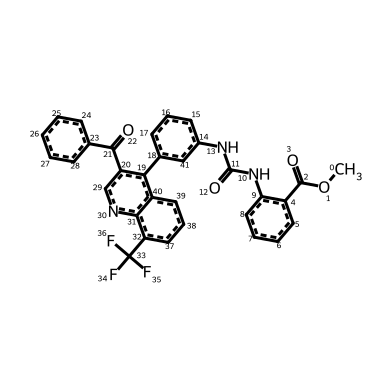 COC(=O)c1ccccc1NC(=O)Nc1cccc(-c2c(C(=O)c3ccccc3)cnc3c(C(F)(F)F)cccc23)c1